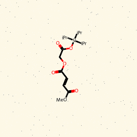 COC(=O)/C=C/C(=O)OCC(=O)O[Si](C(C)C)(C(C)C)C(C)C